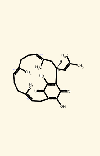 CC(C)=C[C@@H]1C/C(C)=C/CC/C(C)=C/CC/C(C)=C/CC2=C(O)C(=O)C1=C(O)C2=O